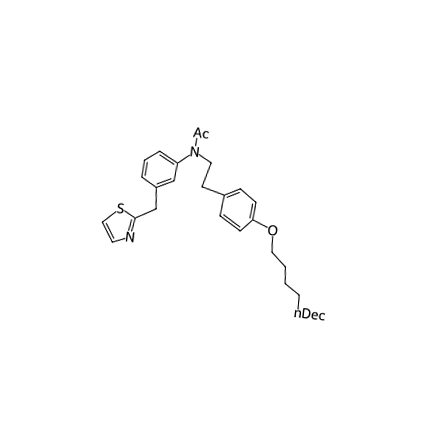 CCCCCCCCCCCCCCOc1ccc(CCN(C(C)=O)c2cccc(Cc3nccs3)c2)cc1